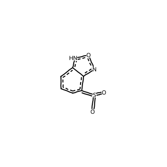 O=S(=O)=c1cccc2[nH]onc1-2